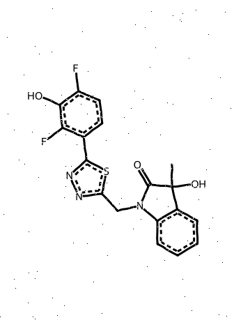 CC1(O)C(=O)N(Cc2nnc(-c3ccc(F)c(O)c3F)s2)c2ccccc21